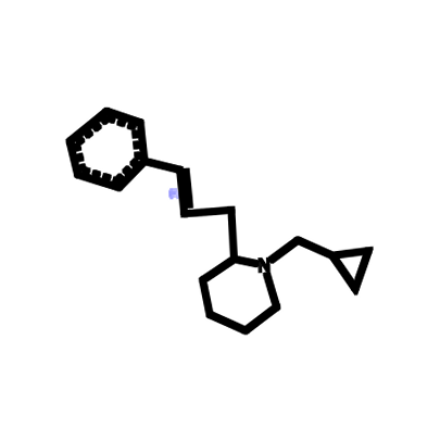 C(=C\c1ccccc1)/CC1CCCCN1CC1CC1